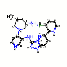 C[C@@H]1C[C@H](N)CN(c2ccncc2Nc2nnc3ccc(-c4ncccc4F)nn23)C1